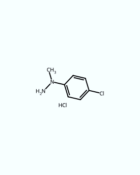 CN(N)c1ccc(Cl)cc1.Cl